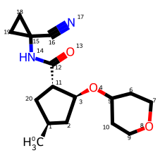 C[C@@H]1C[C@H](OC2CCOCC2)[C@@H](C(=O)NC2(C#N)CC2)C1